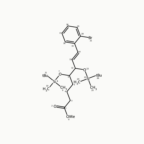 COC(=O)CCCC(O[Si](C)(C)C(C)(C)C)C(C=Cc1ccccc1Br)O[Si](C)(C)C(C)(C)C